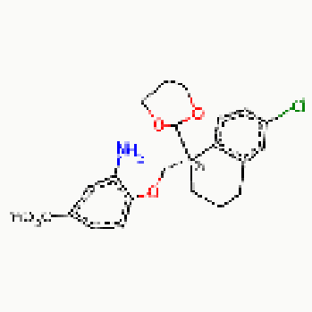 Nc1cc(C(=O)O)ccc1OC[C@@]1(C2OCCCO2)CCCc2cc(Cl)ccc21